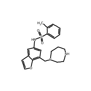 Cc1ccccc1S(=O)(=O)Nc1cc(CN2CCCNCC2)c2occc2c1